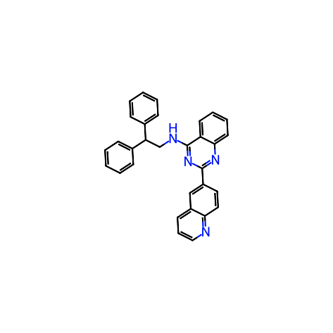 c1ccc(C(CNc2nc(-c3ccc4ncccc4c3)nc3ccccc23)c2ccccc2)cc1